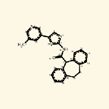 Cc1cncc(-c2cnc(NC(=O)C3c4ccccc4CCc4ccccc43)s2)c1